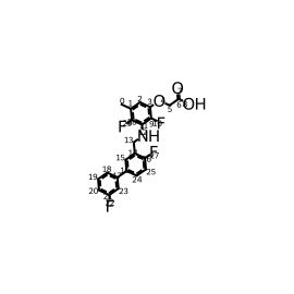 Cc1cc(OCC(=O)O)c(F)c(NCc2cc(-c3cccc(F)c3)ccc2F)c1F